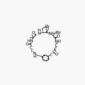 CC[C@H](C)[C@@H]1NC(=O)[C@H](CC(C)C)NC(=O)C(C)(C)NC(=O)CCNCc2cccc(c2)C[S+]([O-])CCNC1=O